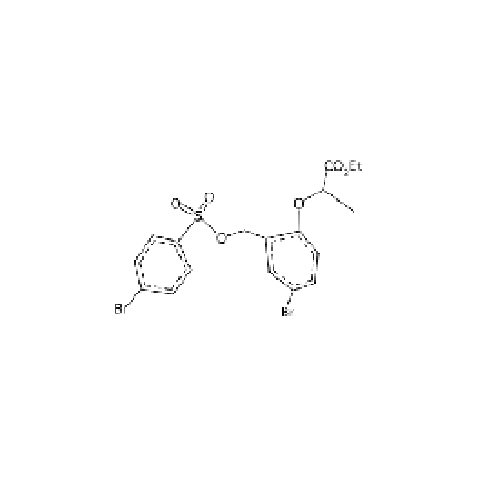 CCOC(=O)C(C)Oc1ccc(Br)cc1COS(=O)(=O)c1ccc(Br)cc1